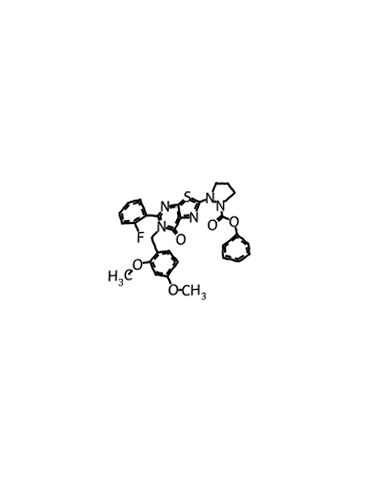 COc1ccc(Cn2c(-c3ccccc3F)nc3sc(N4CCCN4C(=O)Oc4ccccc4)nc3c2=O)c(OC)c1